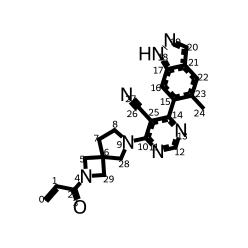 C=CC(=O)N1CC2(CCN(c3ncnc(-c4cc5[nH]ncc5cc4C)c3C#N)C2)C1